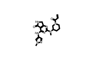 C=CC(=O)N1CCCC(N(C)c2nc3c(c(Nc4cnn(C)c4)n2)C(=O)NC3)C1